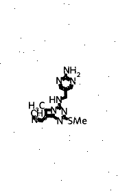 C/N=C\C1=C2N=C(SC)N=C(NCc3cnc(N)nc3)N2C1C